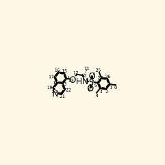 Cc1cc(C)c(S(=O)(=O)N[C@@H](C)COc2cccc3cnccc23)c(C)c1